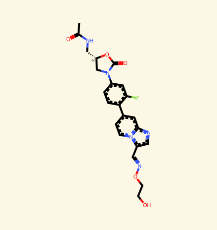 CC(=O)NC[C@H]1CN(c2ccc(-c3ccn4c(C=NOCCO)cnc4c3)c(F)c2)C(=O)O1